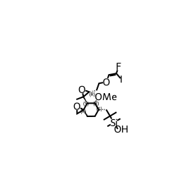 CO[C@@H]1[C@H](CC(C)(C)[Si](C)(C)O)CC[C@]2(CO2)[C@H]1C1(C)O[C@@H]1CCOC=C(F)I